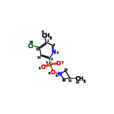 Cc1cnc(S(=O)(=O)ON2CC(C)C2)cc1Cl